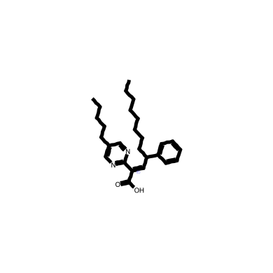 CCCCCCCCC(/C=C(/C(=O)O)c1ncc(CCCCC)cn1)c1ccccc1